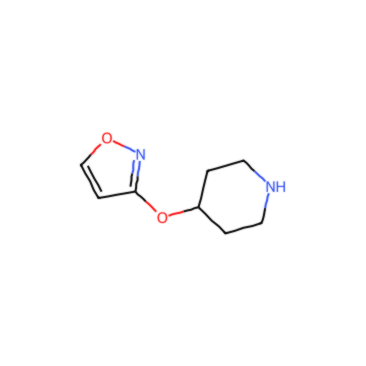 c1cc(OC2CCNCC2)no1